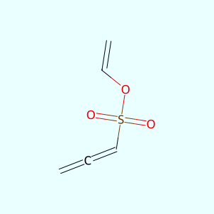 C=C=CS(=O)(=O)OC=C